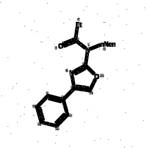 CCCCCCCCCN(C(=O)CC)c1nc(-c2ccccc2)co1